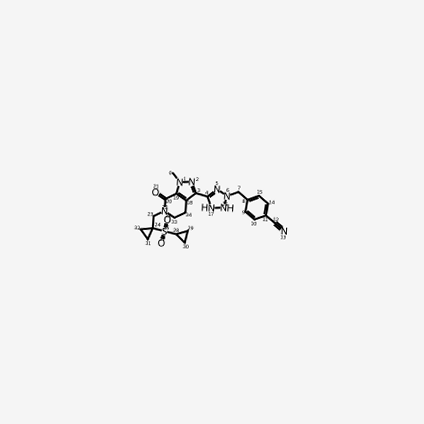 Cn1nc(C2=NN(Cc3ccc(C#N)cc3)NN2)c2c1C(=O)N(CC1(S(=O)(=O)C3CC3)CC1)CC2